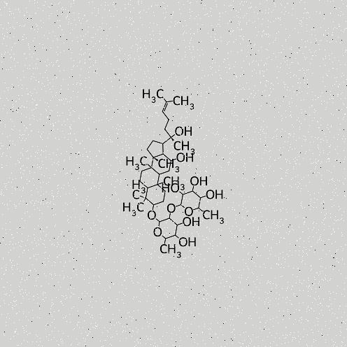 CC(C)=CCC[C@](C)(O)C1CC[C@]2(C)C1C(O)CC1C3(C)CCC(OC4OC(C)C(O)C(O)C4OC4OC(C)C(O)C(O)C4O)C(C)(C)C3CCC12C